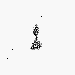 C[C@]12CCC(=O)C[C@@H]1CC[C@@H]1[C@@H]2CC[C@]2(C)[C@@H](OCCCCC(=O)N3CCN(C(=O)c4cc(Cc5n[nH]c(=O)c6ccccc56)ccc4F)CC3)CC[C@@H]12